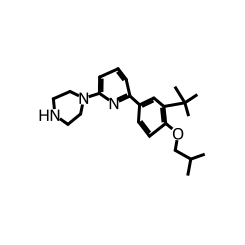 CC(C)COc1ccc(-c2cccc(N3CCNCC3)n2)cc1C(C)(C)C